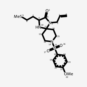 C=CCN1C(=O)C(CCSC)NC12CCN(S(=O)(=O)c1ccc(OC)cc1)CC2